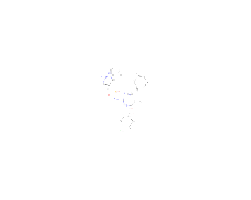 CC(C)CCc1ccccc1-c1nc(NS(=O)(=O)c2cnn(C)c2)nc(Oc2ccc(Cl)cc2)c1C(F)(F)F